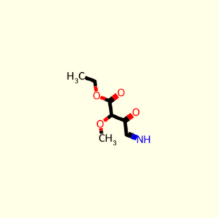 CCOC(=O)C(OC)C(=O)C=N